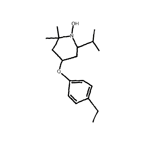 CCc1ccc(OC2CC(C(C)C)N(O)C(C)(C)C2)cc1